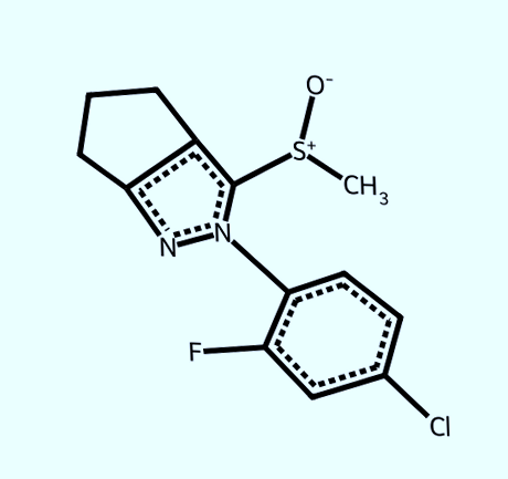 C[S+]([O-])c1c2c(nn1-c1ccc(Cl)cc1F)CCC2